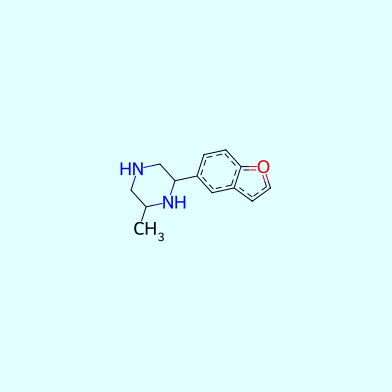 CC1CNCC(c2ccc3occc3c2)N1